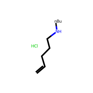 C=CCCCNCCCC.Cl